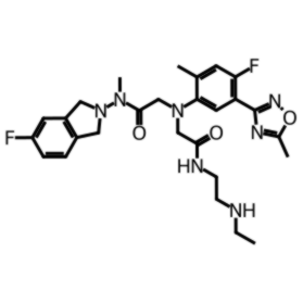 CCNCCNC(=O)CN(CC(=O)N(C)N1Cc2ccc(F)cc2C1)c1cc(-c2noc(C)n2)c(F)cc1C